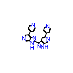 c1cc(-c2cc3c(-c4nc5c(-c6ccncc6)cncc5[nH]4)n[nH]c3cn2)ccn1